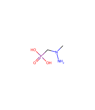 CN(N)CP(=O)(O)O